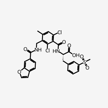 Cc1cc(Cl)c(C(=O)N[C@@H](Cc2cccc(S(C)(=O)=O)c2)C(=O)O)c(Cl)c1CNC(=O)c1ccc2ccoc2c1